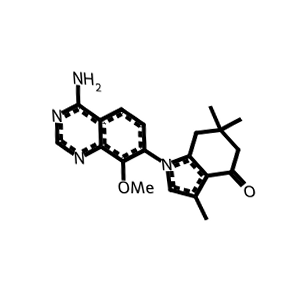 COc1c(-n2cc(C)c3c2CC(C)(C)CC3=O)ccc2c(N)ncnc12